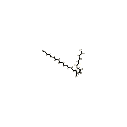 CCCCCCCCCCCCCCCc1n(C)cc[n+]1CCCCCCC